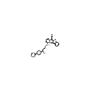 N#C/C(=C1/Nc2ccccc2O1)c1ccnc(NCCCC(=O)N2CCN(C3CCCCC3)CC2)n1